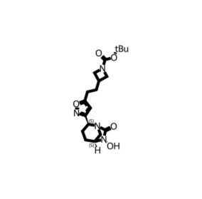 CC(C)(C)OC(=O)N1CC(CCc2cc([C@@H]3CC[C@H]4CN3C(=O)N4O)no2)C1